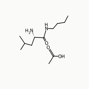 CC(=O)O.CCCCNC(=O)[C@@H](N)CC(C)C